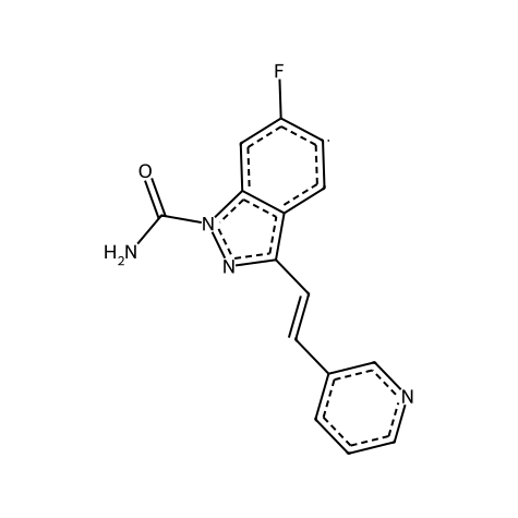 NC(=O)n1nc(C=Cc2cccnc2)c2c[c]c(F)cc21